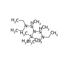 CCN(CC)[SiH](C)N([SiH](C)N(CC)CC)[Si](C)(C)C